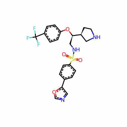 O=S(=O)(NC[C@@H](Oc1ccc(C(F)(F)F)cc1)[C@H]1CCNC1)c1ccc(-c2cnco2)cc1